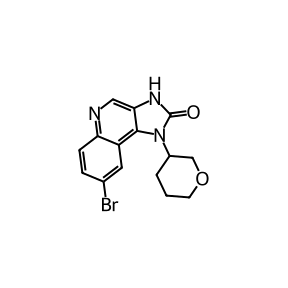 O=c1[nH]c2cnc3ccc(Br)cc3c2n1C1CCCOC1